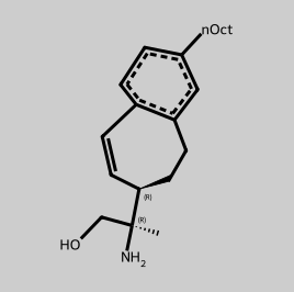 CCCCCCCCc1ccc2c(c1)CC[C@@H]([C@@](C)(N)CO)C=C2